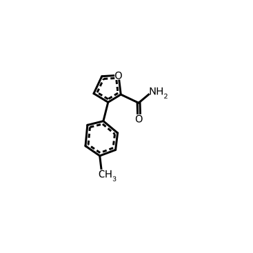 Cc1ccc(-c2ccoc2C(N)=O)cc1